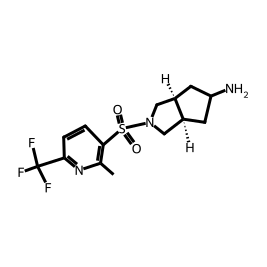 Cc1nc(C(F)(F)F)ccc1S(=O)(=O)N1C[C@H]2CC(N)C[C@H]2C1